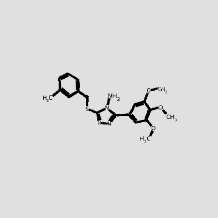 COc1cc(-c2nnc(SCc3cccc(C)c3)n2N)cc(OC)c1OC